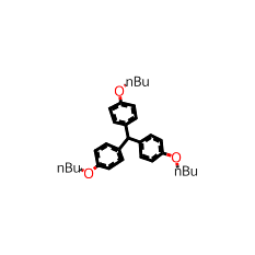 CCCCOc1ccc(C(c2ccc(OCCCC)cc2)c2ccc(OCCCC)cc2)cc1